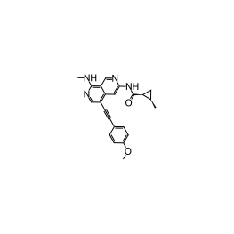 CNc1ncc(C#Cc2ccc(OC)cc2)c2cc(NC(=O)[C@H]3C[C@H]3C)ncc12